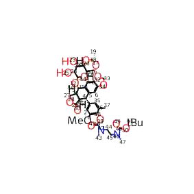 COc1cc([C@@H]2c3cc4c(cc3C(OC3O[C@@H]5CO[C@@H](C)O[C@H]5[C@H](O)[C@H]3O)[C@H]3COC(=O)[C@H]23)OCO4)cc(C)c1OC(=O)N(C)CCN(C)C(=O)OC(C)(C)C